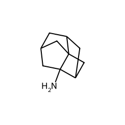 NC12CC3CC4CC1CC42C3